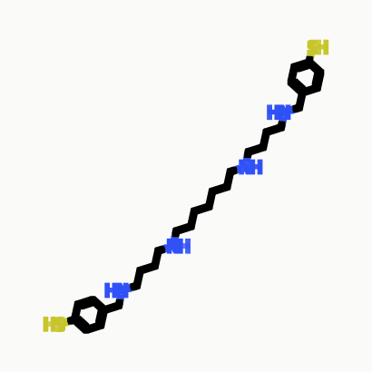 Sc1ccc(CNCCCCNCCCCCCCNCCCCNCc2ccc(S)cc2)cc1